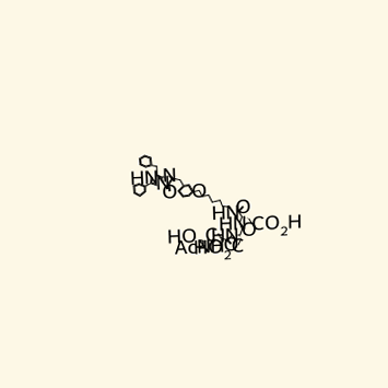 CC(=O)N[C@@H](CC(=O)O)C(=O)N[C@@H](CC(=O)O)C(=O)N[C@@H](CCC(=O)O)C(=O)NCCCCCCOc1cccc(Cc2nc3c(Cc4ccccc4)[nH]c(-c4ccccc4)cn-3c2=O)c1